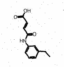 CCc1cccc(NC(=O)/C=C/C(=O)O)c1